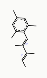 C/C=C(C)/C(C)=C/c1c(C)cc(C)cc1C